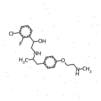 CNCCOc1ccc(CC(C)NCC(O)c2cccc(Cl)c2F)cc1